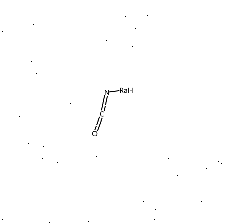 O=C=[N][RaH]